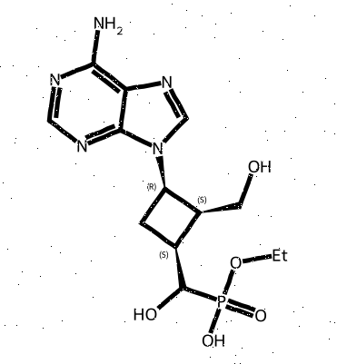 CCOP(=O)(O)C(O)[C@H]1C[C@@H](n2cnc3c(N)ncnc32)[C@H]1CO